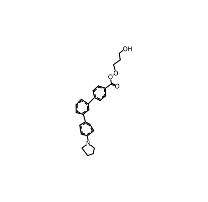 O=C(OOCCCO)c1ccc(-c2cccc(-c3ccc(N4CCCC4)cc3)c2)cc1